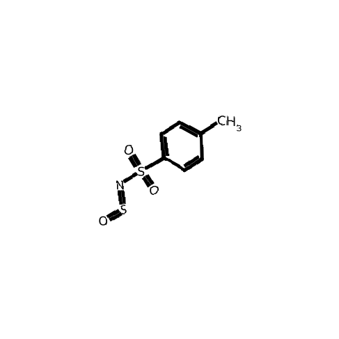 Cc1ccc(S(=O)(=O)N=S=O)cc1